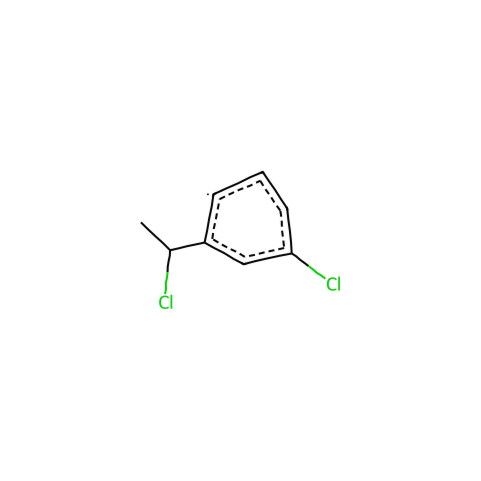 CC(Cl)c1[c]ccc(Cl)c1